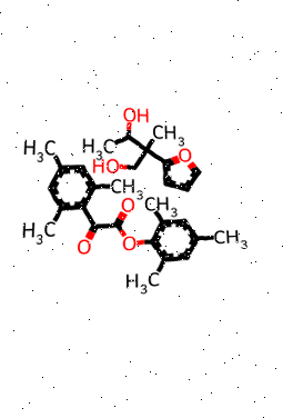 CC(O)C(C)(CO)c1ccco1.Cc1cc(C)c(OC(=O)C(=O)c2c(C)cc(C)cc2C)c(C)c1